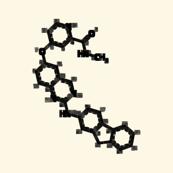 CNC(=O)c1cc(Oc2ccc3nc(Nc4ccc5c(c4)Cc4ccccc4-5)ncc3c2)ccn1